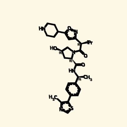 Cc1ncsc1-c1ccc([C@H](C)NC(=O)[C@@H]2C[C@@H](O)CN2C(=O)[C@@H](c2cc(C3CCNCC3)on2)C(C)C)cc1